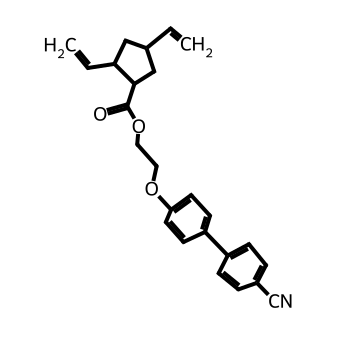 C=CC1CC(C=C)C(C(=O)OCCOc2ccc(-c3ccc(C#N)cc3)cc2)C1